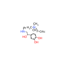 CC(=O)OCC[N+](C)(C)C.CC(C)NCC(O)c1ccc(O)c(O)c1